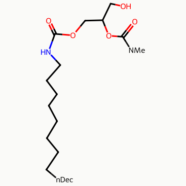 CCCCCCCCCCCCCCCCCCNC(=O)OCC(CO)OC(=O)NC